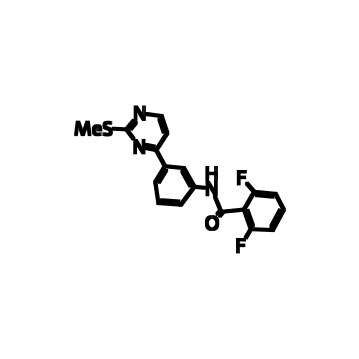 CSc1nccc(-c2cccc(NC(=O)c3c(F)cccc3F)c2)n1